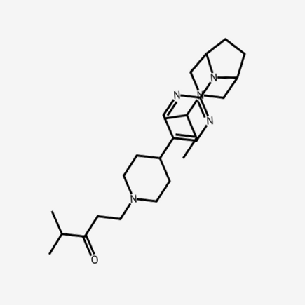 CCC(C)N1CC2CCC(C1)N2c1ncc(C2CCN(CCC(=O)C(C)C)CC2)cn1